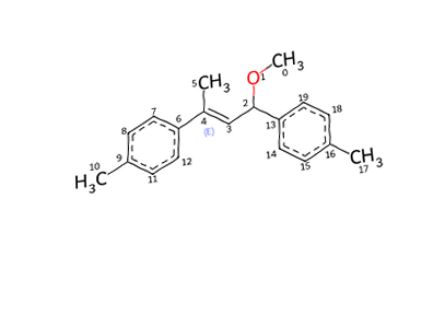 COC(/C=C(\C)c1ccc(C)cc1)c1ccc(C)cc1